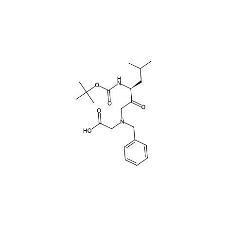 CC(C)C[C@H](NC(=O)OC(C)(C)C)C(=O)CN(CC(=O)O)Cc1ccccc1